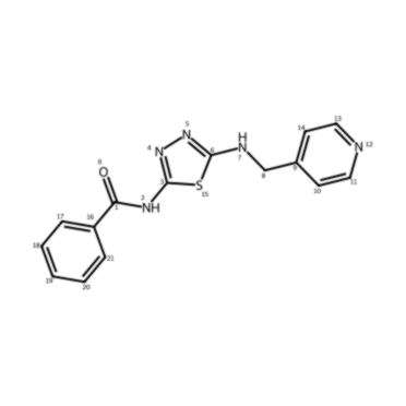 O=C(Nc1nnc(NCc2ccncc2)s1)c1ccccc1